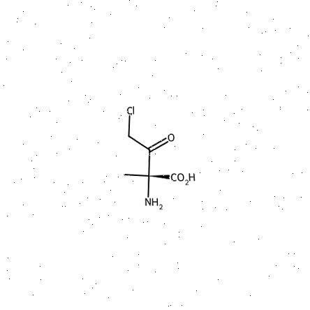 C[C@](N)(C(=O)O)C(=O)CCl